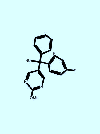 COc1ncc(C(O)(c2ccccc2)c2ccc(F)cc2F)cn1